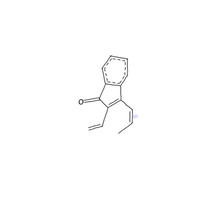 C=CC1=C(/C=C\C)c2ccccc2C1=O